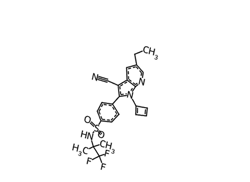 CCc1cnc2c(c1)c(C#N)c(-c1ccc(S(=O)(=O)NC(C)(C)C(F)(F)F)cc1)n2C1=CC=C1